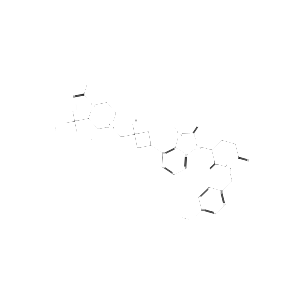 COc1ccc(CN2C(=O)CCC(n3c(=O)n(C)c4c(C5CC(O)(CN6CCN(C(=O)O)C(C(C)(C)C)C6)C5)cccc43)C2=O)cc1